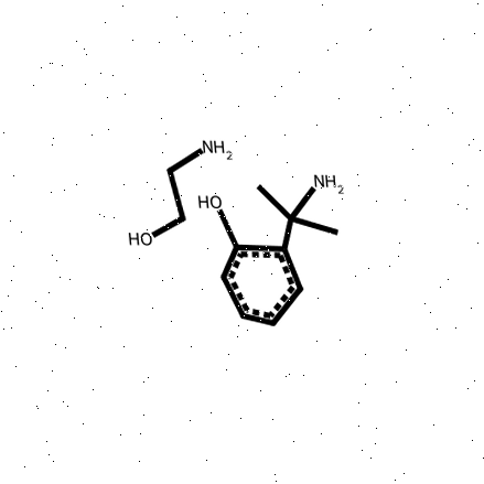 CC(C)(N)c1ccccc1O.NCCO